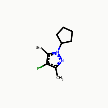 Cc1nn(C2CCCC2)c(C(C)(C)C)c1F